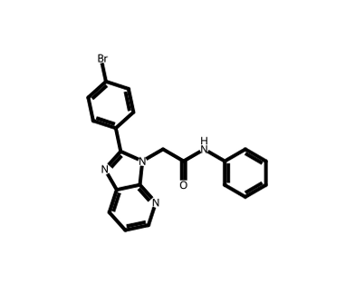 O=C(Cn1c(-c2ccc(Br)cc2)nc2cccnc21)Nc1ccccc1